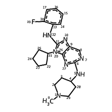 CN1CCC(Nc2ncc3nc(Nc4ccccc4F)n(C4CCCC4)c3n2)CC1